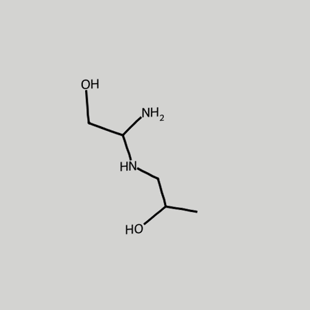 CC(O)CNC(N)CO